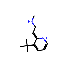 CNC/C=C1\NC=CC=C1C(C)(C)C